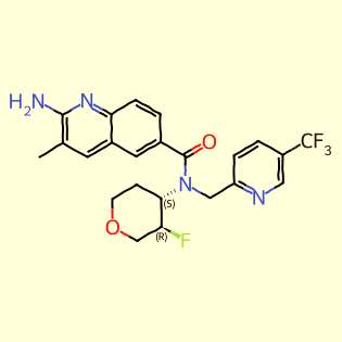 Cc1cc2cc(C(=O)N(Cc3ccc(C(F)(F)F)cn3)[C@H]3CCOC[C@@H]3F)ccc2nc1N